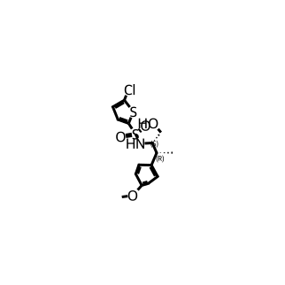 COc1ccc([C@@H](C)[C@@H](CO)NS(=O)(=O)c2ccc(Cl)s2)cc1